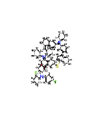 Fc1ccc(N(c2cccc(-c3cc(-c4ccccc4N(c4ccccc4)c4ccccc4)c4c(c3)sc3c5ccccc5c(-c5cccc(N(c6ccccc6)c6ccc7ccccc7c6)c5)cc34)c2)c2ccccc2F)cc1